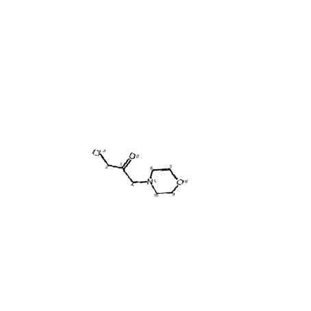 O=C(CCl)CN1CCOCC1